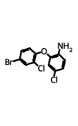 Nc1ccc(Cl)cc1Oc1ccc(Br)cc1Cl